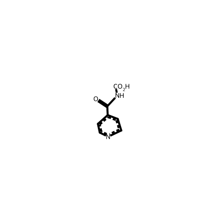 O=C(O)NC(=O)c1ccncc1